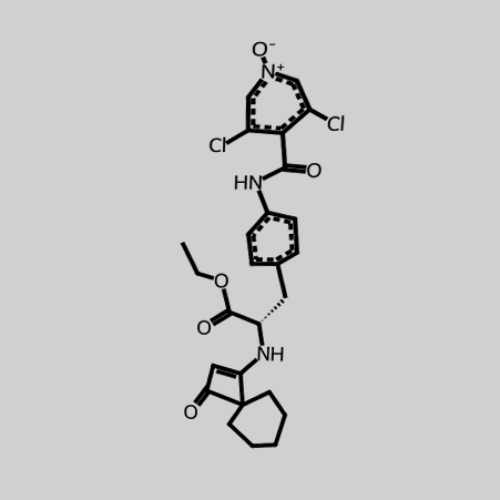 CCOC(=O)[C@H](Cc1ccc(NC(=O)c2c(Cl)c[n+]([O-])cc2Cl)cc1)NC1=CC(=O)C12CCCCC2